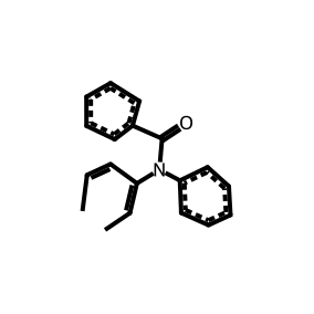 C/C=C\C(=C/C)N(C(=O)c1ccccc1)c1ccccc1